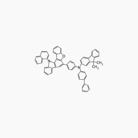 CC1(C)c2ccccc2-c2ccc(N(c3ccc(-c4ccccc4)cc3)c3ccc(-c4cc5c6ccccc6n(-c6cccc7ccccc67)c5c5c4oc4ccccc45)cc3)cc21